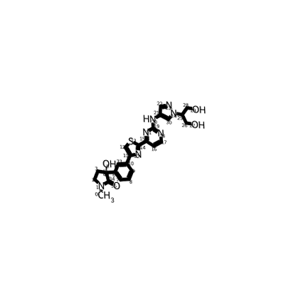 CN1CC[C@@](O)(c2cccc(-c3csc(-c4ccnc(Nc5cnn(C(CO)CO)c5)n4)n3)c2)C1=O